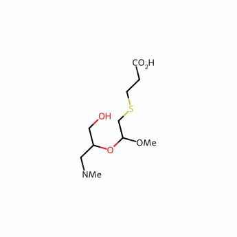 CNCC(CO)OC(CSCCC(=O)O)OC